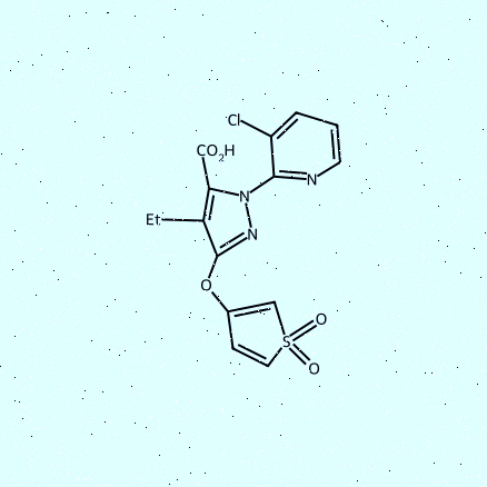 CCc1c(OC2=CS(=O)(=O)C=C2)nn(-c2ncccc2Cl)c1C(=O)O